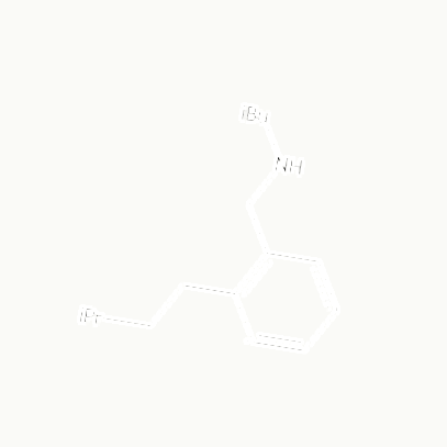 CCC(C)NCc1ccc[c]c1CCC(C)C